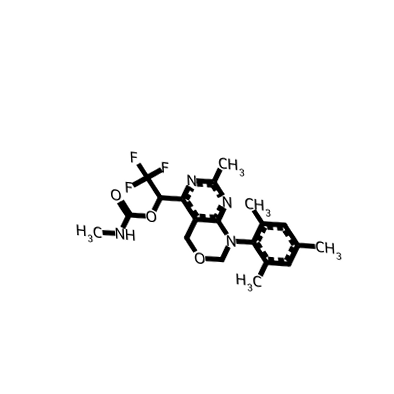 CNC(=O)OC(c1nc(C)nc2c1COCN2c1c(C)cc(C)cc1C)C(F)(F)F